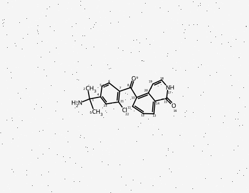 CC(C)(N)c1ccc(C(=O)c2cccc3c(=O)[nH]ccc23)c(Cl)c1